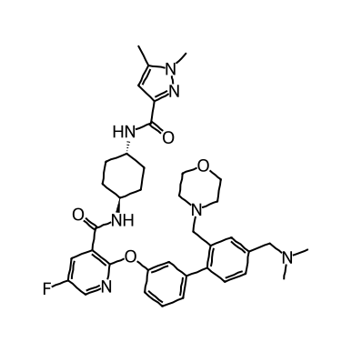 Cc1cc(C(=O)N[C@H]2CC[C@H](NC(=O)c3cc(F)cnc3Oc3cccc(-c4ccc(CN(C)C)cc4CN4CCOCC4)c3)CC2)nn1C